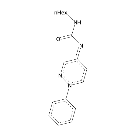 CCCCCCNC(=O)/N=c1/ccn(-c2ccccc2)nc1